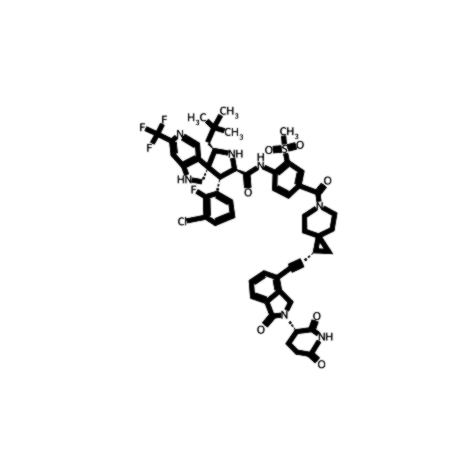 CC(C)(C)C[C@@H]1N[C@@H](C(=O)Nc2ccc(C(=O)N3CCC4(CC3)C[C@@H]4C#Cc3cccc4c3CN([C@H]3CCC(=O)NC3=O)C4=O)cc2S(C)(=O)=O)[C@H](c2cccc(Cl)c2F)[C@]12CNc1cc(C(F)(F)F)ncc12